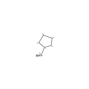 CSC1C[CH]CC1